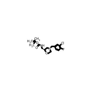 CC(C)(C)OC(=O)NC[C@H]1CN(Cc2ccc(F)c(Cl)c2)CCO1